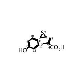 C1CS1.C=C(C)C(=O)O.Oc1ccccc1